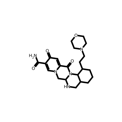 NC(=O)c1cn2c(cc1=O)C(=O)N1C(C2)NCC2CCCC(CCN3CCOCC3)C21